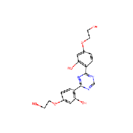 OCCOc1ccc(-c2ncnc(-c3ccc(OCCO)cc3O)n2)c(O)c1